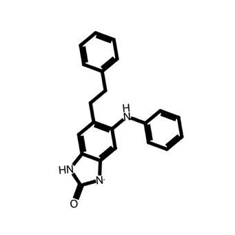 O=C1[N]c2cc(Nc3ccccc3)c(CCc3ccccc3)cc2N1